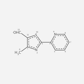 Cc1nc(-c2ccccn2)sc1[C]=O